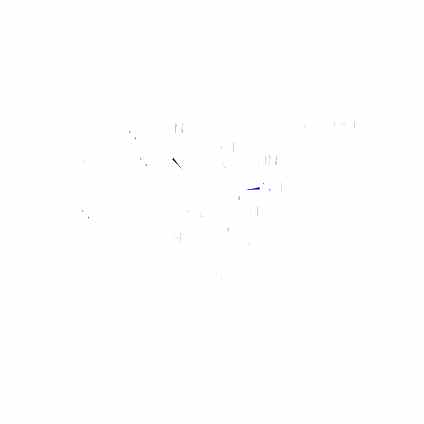 Cc1nc([C@@H]2O[C@@H]3COC(c4ccccc4)O[C@@H]3[C@H](NNC(=O)OC(C)(C)C)[C@H]2O)n(-c2cc(Br)c(C)nc2C(F)(F)F)n1